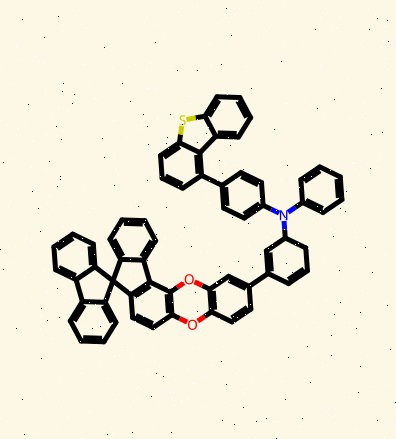 C1=CC(c2ccc3c(c2)Oc2c(ccc4c2-c2ccccc2C42c4ccccc4-c4ccccc42)O3)=CC(N(c2ccccc2)c2ccc(-c3cccc4sc5ccccc5c34)cc2)C1